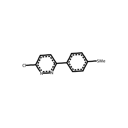 CSc1ccc(-c2ccc(Cl)nn2)cc1